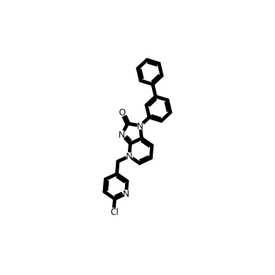 O=c1nc2n(Cc3ccc(Cl)nc3)cccc-2n1-c1cccc(-c2ccccc2)c1